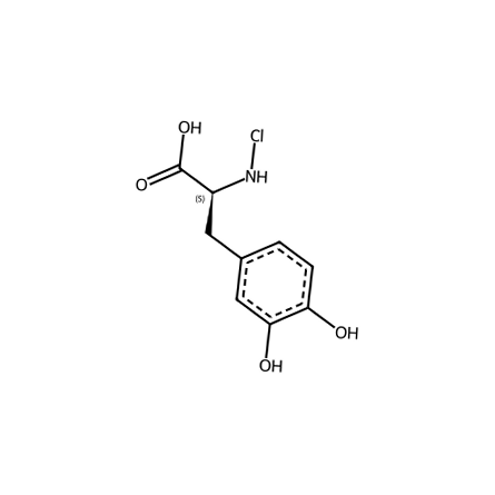 O=C(O)[C@H](Cc1ccc(O)c(O)c1)NCl